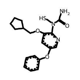 NC(=O)N(S)c1ncc(Oc2ccccc2)cc1OCC1CCCC1